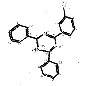 Clc1cccc(C2=NC(C3=CC=C=C=C3)NC(c3ccccc3)=N2)c1